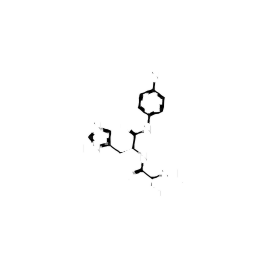 CC(C)[C@H](N)C(=O)N[C@@H](Cc1cnc[nH]1)C(=O)Nc1ccc([N+](=O)[O-])cc1